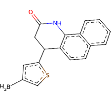 Bc1csc(C2CC(=O)Nc3c2ccc2ccccc32)c1